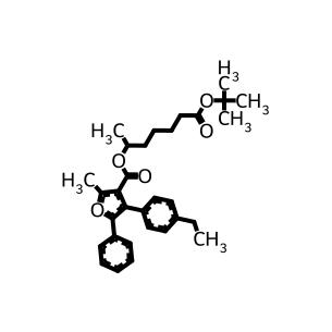 CCc1ccc(-c2c(-c3ccccc3)oc(C)c2C(=O)OC(C)CCCCC(=O)OC(C)(C)C)cc1